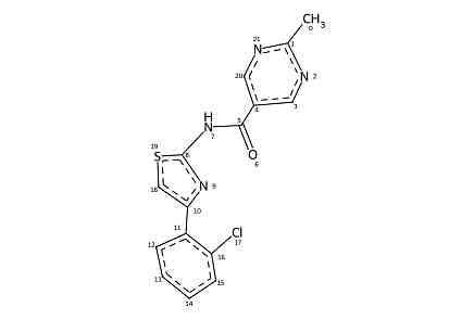 Cc1ncc(C(=O)Nc2nc(-c3ccccc3Cl)cs2)cn1